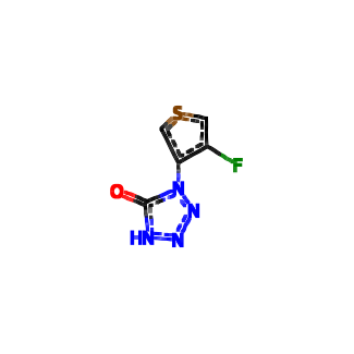 O=c1[nH]nnn1-c1cscc1F